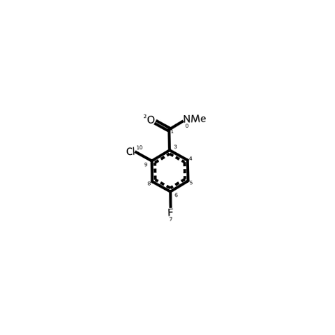 CNC(=O)c1ccc(F)cc1Cl